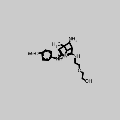 COc1ccc(NC2=CC3(C)C(C)C(C(NCCOCCO)=N2)C3N)cc1